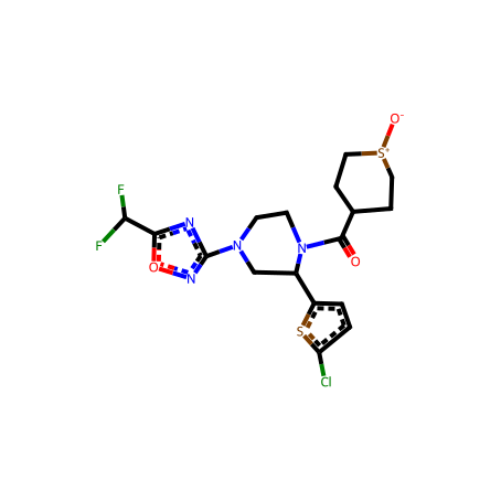 O=C(C1CC[S+]([O-])CC1)N1CCN(c2noc(C(F)F)n2)CC1c1ccc(Cl)s1